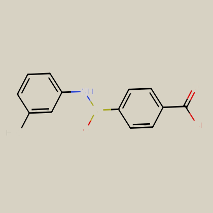 Cc1cccc(N[S+]([O-])c2ccc(C(=O)O)cc2)c1